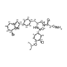 CC(C)Oc1ccc(C(=O)N[C@H](CNC(=O)CCN)Cc2ccc(-c3cn4cccc(Br)c4n3)cc2)cc1Cl